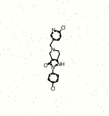 O=c1c2c([nH]n1-c1ccc(Cl)cc1)CCN(Cc1ccc(Cl)nc1)C2